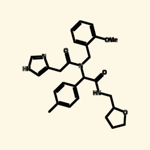 COc1ccccc1CN(C(=O)Cc1c[nH]cn1)C(C(=O)NCC1CCCO1)c1ccc(C)cc1